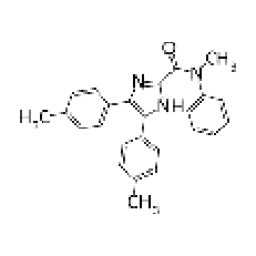 Cc1ccc(-c2nc(C(=O)N(C)c3ccccc3)[nH]c2-c2ccc(C)cc2)cc1